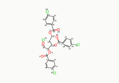 O=C[C@H](OC(=O)c1ccc(Cl)cc1)[C@@H](OC(=O)c1ccc(Cl)cc1)[C@H](Cl)COC(=O)c1ccc(Cl)cc1